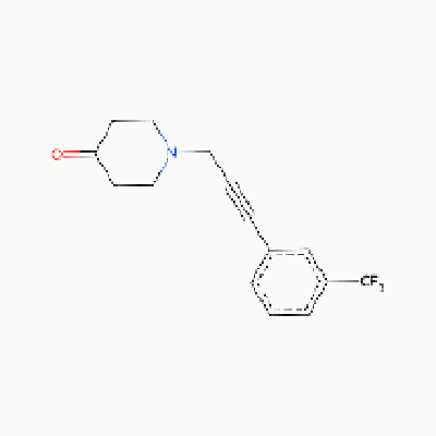 O=C1CCN(CC#Cc2cccc(C(F)(F)F)c2)CC1